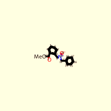 COC(=O)c1ccccc1C=[N+]([O-])Cc1ccccc1